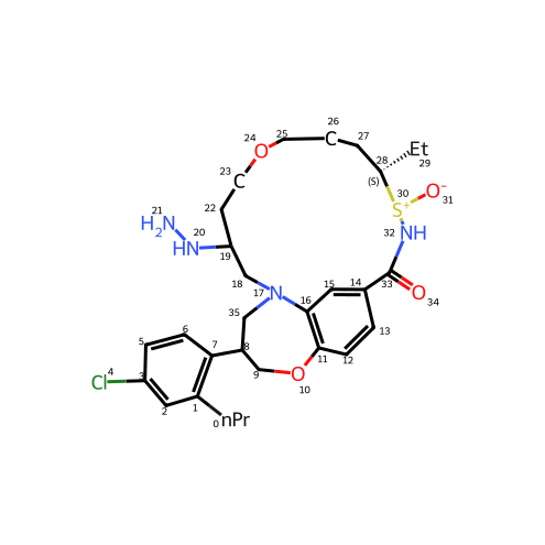 CCCc1cc(Cl)ccc1C1COc2ccc3cc2N(CC(NN)CCOCCC[C@H](CC)[S+]([O-])NC3=O)C1